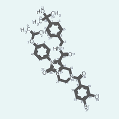 CC(C)Oc1ccc(-n2c(C(=O)NCc3ccc(C(C)(C)O)cc3)c3n(c2=O)CCN(C(=O)c2ccc(Br)c(Cl)c2)C3)cc1